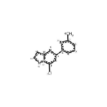 Cc1cccc(-c2cc(Cl)n3nccc3n2)n1